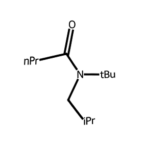 [CH2]CCC(=O)N(CC(C)C)C(C)(C)C